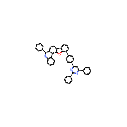 c1ccc(-c2cc(-c3ccc(-c4cccc5c4oc4c5ccc5c(-c6ccccc6)nc6ccccc6c54)cc3)nc(-c3ccccc3)n2)cc1